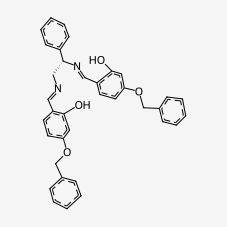 Oc1cc(OCc2ccccc2)ccc1C=NC[C@@H](N=Cc1ccc(OCc2ccccc2)cc1O)c1ccccc1